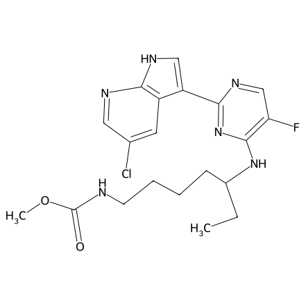 CCC(CCCCNC(=O)OC)Nc1nc(-c2c[nH]c3ncc(Cl)cc23)ncc1F